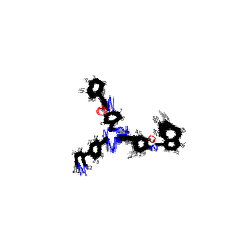 c1ccc(-c2nc3ccc(-c4nc(-c5ccc(-c6cccnc6)cc5)nc(-c5ccc6nc(-c7cccc8ccccc78)oc6c5)n4)cc3o2)cc1